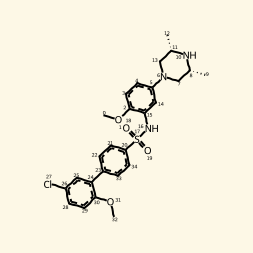 COc1ccc(N2C[C@@H](C)N[C@@H](C)C2)cc1NS(=O)(=O)c1ccc(-c2cc(Cl)ccc2OC)cc1